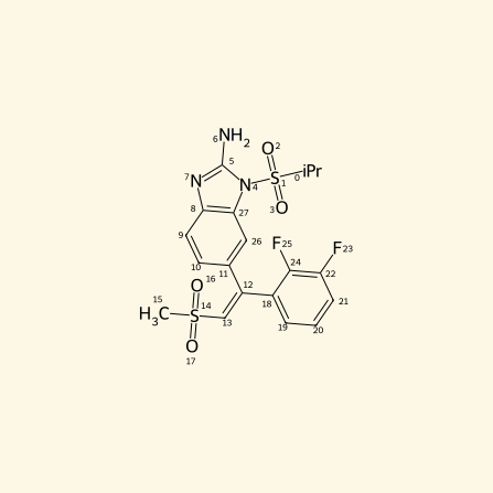 CC(C)S(=O)(=O)n1c(N)nc2ccc(/C(=C\S(C)(=O)=O)c3cccc(F)c3F)cc21